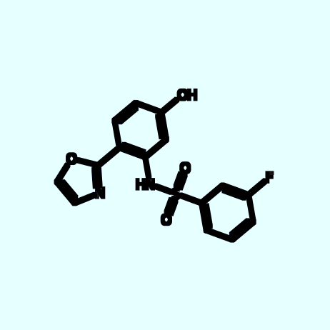 O=S(=O)(Nc1cc(O)ccc1-c1ncco1)c1cccc(F)c1